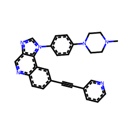 CN1CCN(c2ccc(-n3cnc4cnc5ccc(C#Cc6cccnc6)cc5c43)cc2)CC1